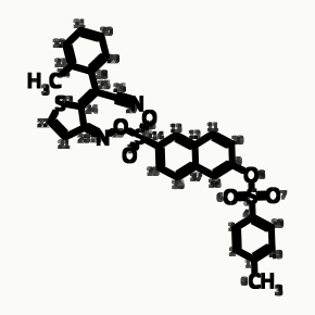 Cc1ccc(S(=O)(=O)Oc2ccc3cc(S(=O)(=O)ON=C4C=CSC4=C(C#N)c4ccccc4C)ccc3c2)cc1